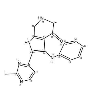 Cc1nccc(-c2[nH]c3c(c2Nc2ccccc2)C(=O)CNC3)n1